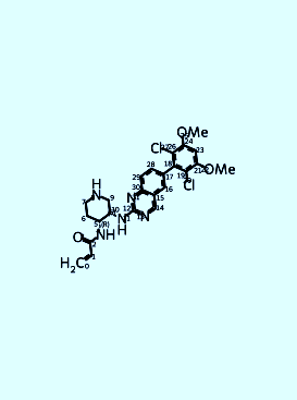 C=CC(=O)N[C@@H]1CCNC[C@@H]1Nc1ncc2cc(-c3c(Cl)c(OC)cc(OC)c3Cl)ccc2n1